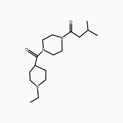 CCN1CCC(C(=O)N2CCN(C(=O)CC(C)C)CC2)CC1